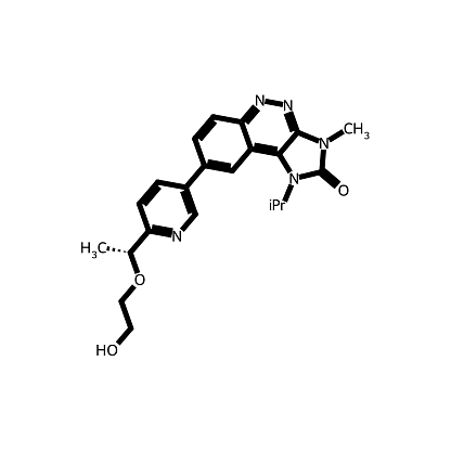 CC(C)n1c(=O)n(C)c2nnc3ccc(-c4ccc([C@@H](C)OCCO)nc4)cc3c21